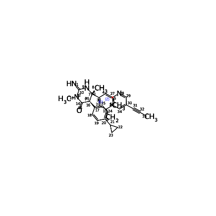 C=C(/C=C(\C=C/C)[C@@]1(C)NC(=N)N(C)C(=O)[C@@H]1c1ccc(C2CC2)cc1)c1cncc(C#CC)c1